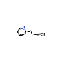 C#CCCc1ccccn1